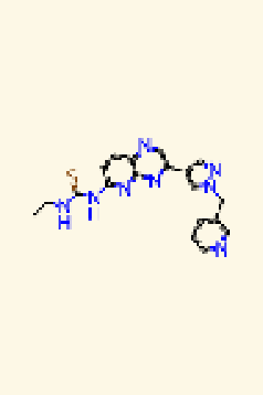 CCNC(=S)Nc1ccc2ncc(-c3cnn(Cc4cccnc4)c3)nc2n1